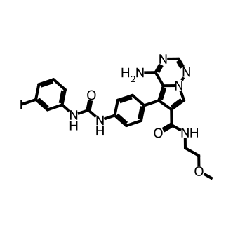 COCCNC(=O)c1cn2ncnc(N)c2c1-c1ccc(NC(=O)Nc2cccc(I)c2)cc1